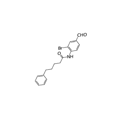 O=Cc1ccc(NC(=O)CCCCc2ccccc2)c(Br)c1